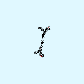 CC1(C)c2cc(/C=C/c3ccc4c(c3)C(C)(C)c3cc(N(c5ccc6c(c5)C(C)(C)c5ccccc5-6)c5ccc6c(c5)C(C)(C)c5ccccc5-6)ccc3-4)ccc2-c2ccc(/C=C/c3ccc4c(c3)C(C)(C)c3cc(N(c5ccc6c(c5)C(C)(C)c5ccccc5-6)c5ccc6c(c5)C(C)(C)c5ccccc5-6)ccc3-4)cc21